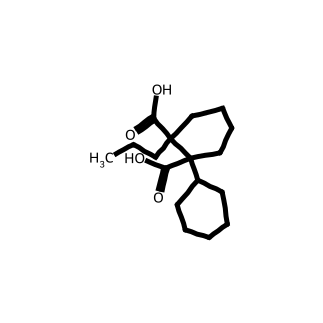 CCCC1(C(=O)O)CCCCC1(C(=O)O)C1CCCCC1